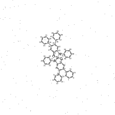 c1ccc(-c2cc3c(cc2-c2ccccc2)N(c2ccccc2)[Si]2(O3)Oc3cc(-c4ccccc4)c(-c4ccccc4)cc3N2c2ccccc2)cc1